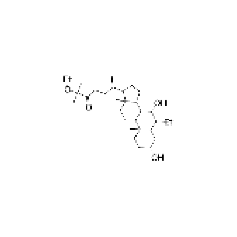 CCOC(C)(C)C(=O)CC[C@@H](C)C1CCC2C3C(CC[C@@]21C)[C@@]1(C)CC[C@@H](O)CC1[C@@H](CC)[C@H]3O